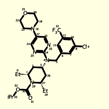 CC[C@@H]1C[C@H](N(Cc2cc(Cl)cc(C(F)(F)F)c2)c2ncc(N3CCOCC3)cn2)C[C@H](CC)N1C(=O)OC(C)C